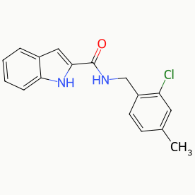 Cc1ccc(CNC(=O)c2cc3ccccc3[nH]2)c(Cl)c1